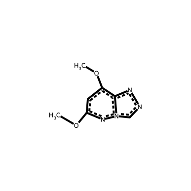 COc1cc(OC)c2nncn2n1